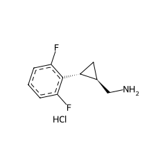 Cl.NC[C@@H]1C[C@H]1c1c(F)cccc1F